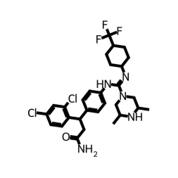 CC1CN(/C(=N/C2CCC(C(F)(F)F)CC2)Nc2ccc(C(CC(N)=O)c3ccc(Cl)cc3Cl)cc2)CC(C)N1